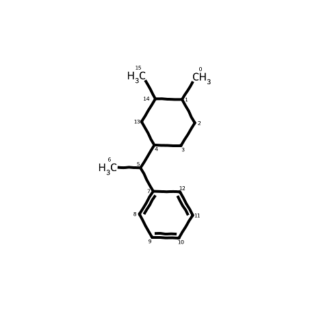 CC1CCC(C(C)c2ccccc2)CC1C